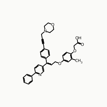 Cc1cc(OC/C=C(\c2ccc(C#CCN3CCOCC3)cc2)c2ccc(-c3ccccc3)nc2)ccc1OCC(=O)O